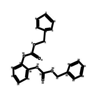 O=C(OCc1ccccc1)Oc1ccccc1OC(=O)OCc1ccccc1